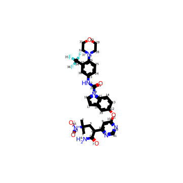 CC(C)(CC(C(N)=O)c1cc(Oc2ccc3c(ccn3C(=O)Nc3ccc(N4CCOCC4)c(C(F)(F)F)c3)c2)ncn1)[N+](=O)[O-]